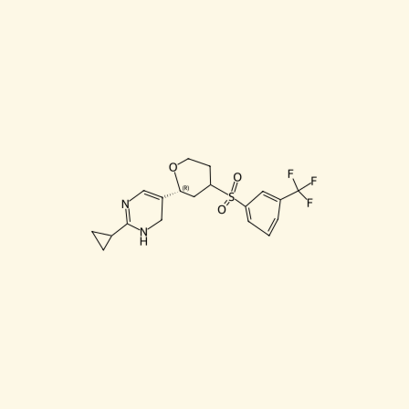 O=S(=O)(c1cccc(C(F)(F)F)c1)C1CCO[C@@H](C2=CN=C(C3CC3)NC2)C1